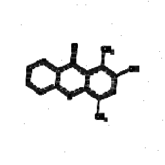 Cc1cc(O)c(C)c2c(=O)c3ccccc3sc12